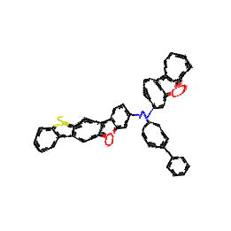 c1ccc(-c2ccc(N(c3ccc4c(c3)oc3ccccc34)c3ccc4c(c3)oc3cc5c(cc34)sc3ccccc35)cc2)cc1